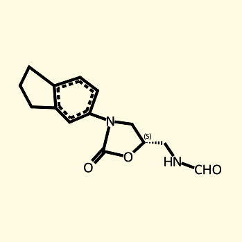 O=CNC[C@H]1CN(c2ccc3c(c2)CCC3)C(=O)O1